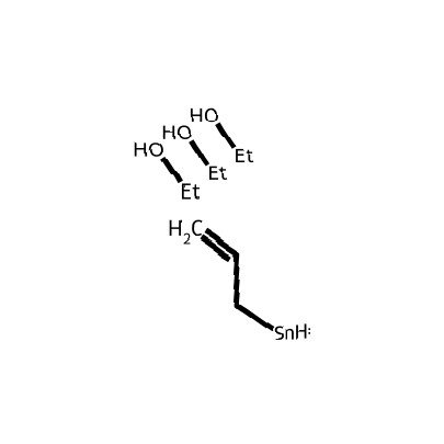 C=C[CH2][SnH].CCO.CCO.CCO